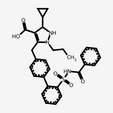 CCCN1NC(C2CC2)C(C(=O)O)=C1Cc1ccc(-c2ccccc2S(=O)(=O)NC(=O)c2ccccc2)cc1